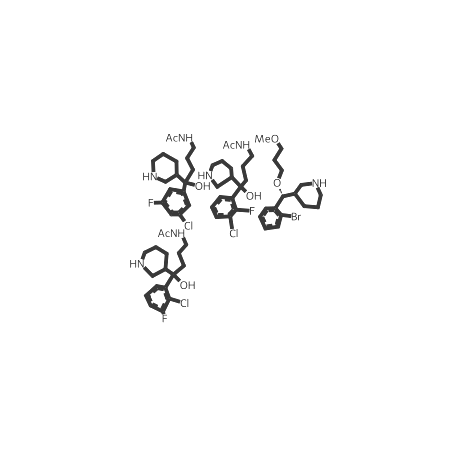 CC(=O)NCCCC(O)(c1cc(F)cc(Cl)c1)C1CCCNC1.CC(=O)NCCCC(O)(c1cccc(Cl)c1F)C1CCCNC1.CC(=O)NCCCC(O)(c1cccc(F)c1Cl)C1CCCNC1.COCCCO[C@@H](c1ccccc1Br)C1CCCNC1